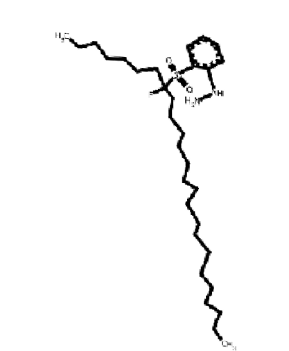 CCCCCCCCCCCCCCCCCC(F)(CCCCCCC)S(=O)(=O)c1ccccc1NN